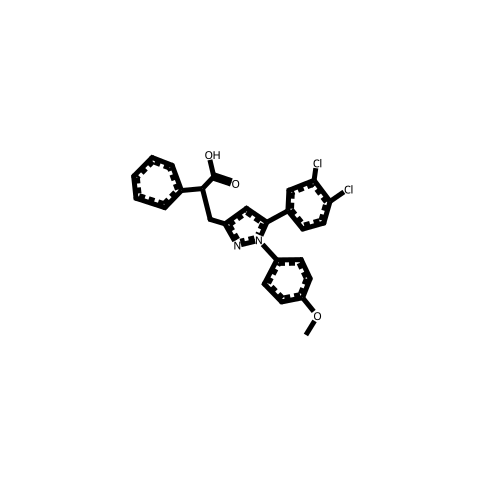 COc1ccc(-n2nc(CC(C(=O)O)c3ccccc3)cc2-c2ccc(Cl)c(Cl)c2)cc1